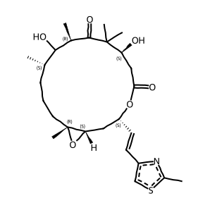 Cc1nc(C=C[C@@H]2C[C@@H]3O[C@]3(C)CCC[C@H](C)C(O)[C@@H](C)C(=O)C(C)(C)[C@@H](O)CC(=O)O2)cs1